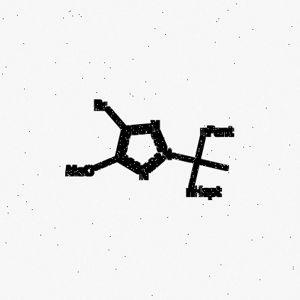 CCCCCCCC(C)(CCCCC)n1nc(Br)c(OC)n1